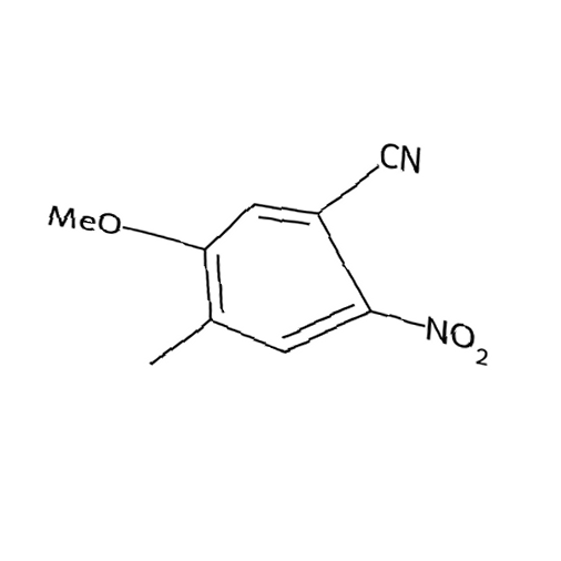 COc1cc(C#N)c([N+](=O)[O-])cc1C